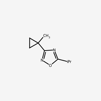 CC(C)c1nc(C2(C)CC2)no1